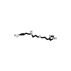 CC#CCCNCCCOCCCc1c[nH]nn1